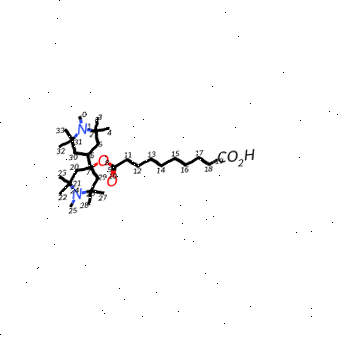 CN1C(C)(C)CC(C2(OC(=O)CCCCCCCCC(=O)O)CC(C)(C)N(C)C(C)(C)C2)CC1(C)C